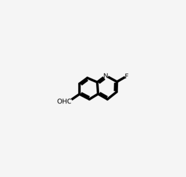 O=Cc1ccc2nc(F)ccc2c1